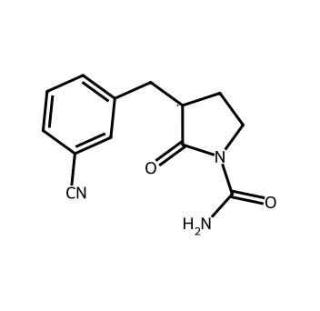 N#Cc1cccc(C[C]2CCN(C(N)=O)C2=O)c1